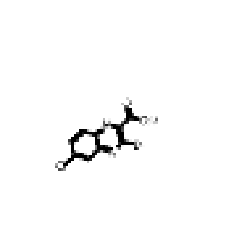 O=C(O)c1nc2ccc(Cl)cc2nc1Br